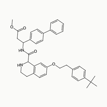 COC(=O)CC(NC(=O)C1NCCc2ccc(OCCc3ccc(C(C)(C)C)cc3)cc21)c1ccc(-c2ccccc2)cc1